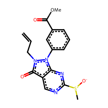 C=CCn1c(=O)c2cnc([S+](C)[O-])nc2n1-c1cccc(C(=O)OC)c1